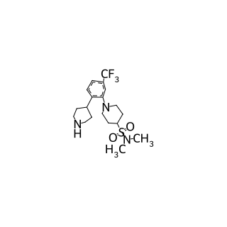 CN(C)S(=O)(=O)C1CCN(c2cc(C(F)(F)F)ccc2C2CCNCC2)CC1